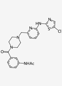 CC(=O)Nc1cccc(C(=O)N2CCN(Cc3cccc(Nc4ncc(Cl)s4)n3)CC2)c1